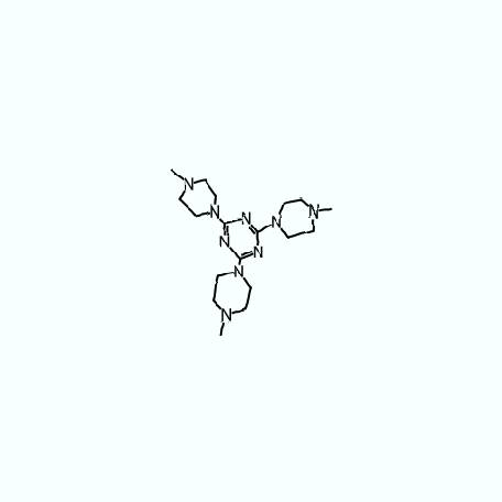 CN1CCN(c2nc(N3CCN(C)CC3)nc(N3CCN(C)CC3)n2)CC1